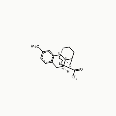 COc1ccc2c(c1)[C@@]13CCCC4O[C@@]41[C@@H](C2)N(C(=O)C(F)(F)F)CC3